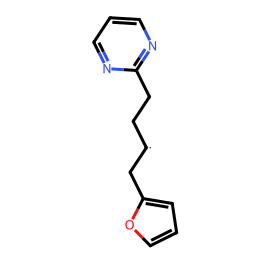 [CH](CCc1ncccn1)Cc1ccco1